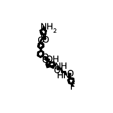 NC1CCN(C(=O)Oc2ccc(C3CCC[C@@H](OOC4(O)C5CC6CC4CC(NC(=O)CCCNC(=O)c4ccc(F)cc4)(C6)C5)C3)cc2)CC1